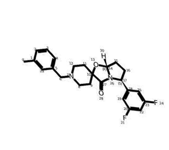 Cc1cccc(CN2CCC3(CC2)O[C@@H]2CC[C@@H](c4cc(F)cc(F)c4)N2C3=O)c1